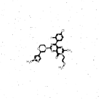 COCCn1c(C)nc2c(-c3ccc(Cl)cc3F)nc(N3CCOC(c4cnn(C)c4)C3)nc2c1=O